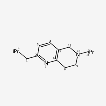 CC(C)Cc1ccc2c(n1)CCN(C(C)C)C2